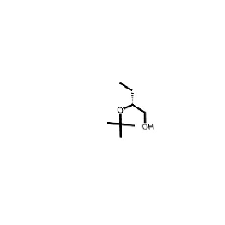 CC[C@H](CO)OC(C)(C)C